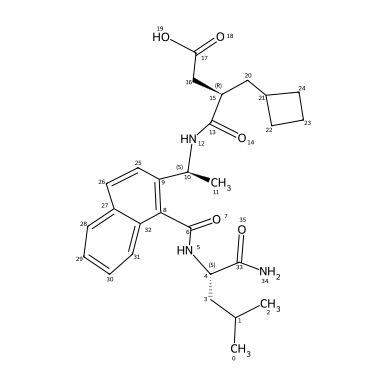 CC(C)C[C@H](NC(=O)c1c([C@H](C)NC(=O)[C@@H](CC(=O)O)CC2CCC2)ccc2ccccc12)C(N)=O